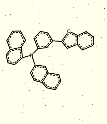 c1cc(-c2cc3ccccc3o2)cc(N(c2ccc3ccccc3c2)c2cccc3ccccc23)c1